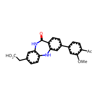 COc1cc(-c2ccc3c(c2)Nc2ccc(CC(=O)O)cc2NC3=O)ccc1C(C)=O